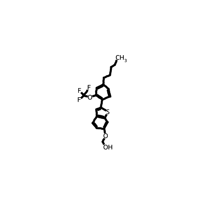 CCCCCc1ccc(-c2cc3ccc(OCO)cc3s2)c(OC(F)(F)F)c1